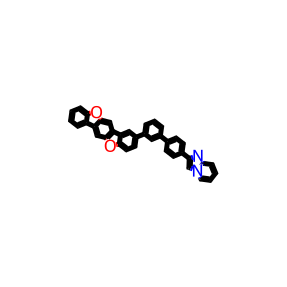 c1cc(-c2ccc(-c3cn4ccccc4n3)cc2)cc(-c2ccc3oc4cc5c(cc4c3c2)oc2ccccc25)c1